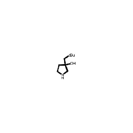 CC(C)(C)CC1(O)CCNC1